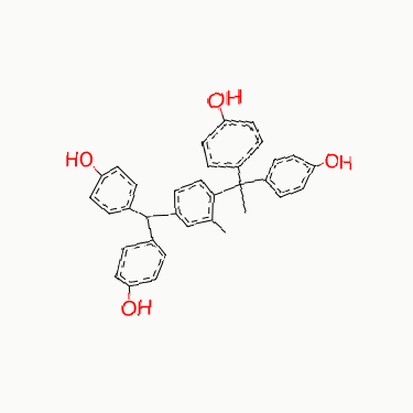 Cc1cc(C(c2ccc(O)cc2)c2ccc(O)cc2)ccc1C(C)(c1ccc(O)cc1)c1ccc(O)cc1